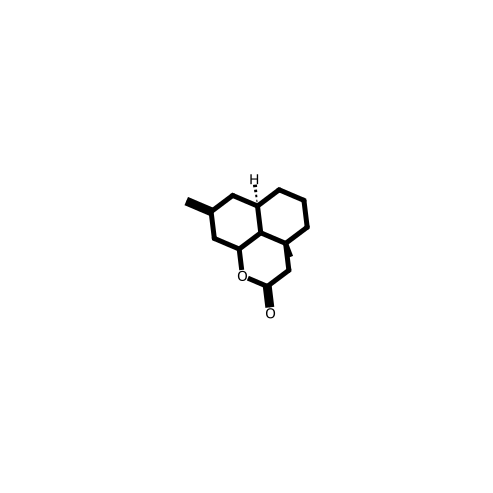 C=C1CC2OC(=O)CC3(C)CCC[C@H](C1)C23